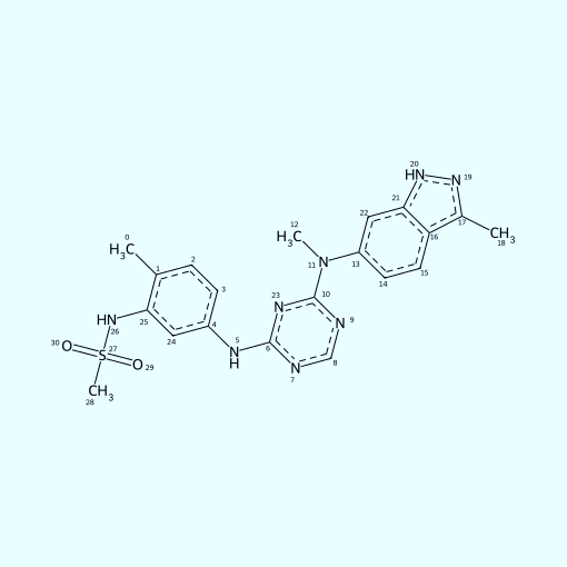 Cc1ccc(Nc2ncnc(N(C)c3ccc4c(C)n[nH]c4c3)n2)cc1NS(C)(=O)=O